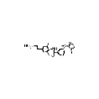 Cc1cc(/C=C/C(=O)O)cc(C)c1NC(=O)c1cccc(NC2=NCCN2)c1